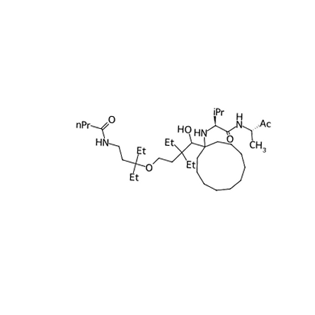 CCCC(=O)NCCC(CC)(CC)OCCC(CC)(CC)C(O)C1(N[C@H](C(=O)N[C@@H](C)C(C)=O)C(C)C)CCCCCCCCCC1